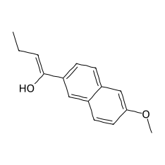 CCC=C(O)c1ccc2cc(OC)ccc2c1